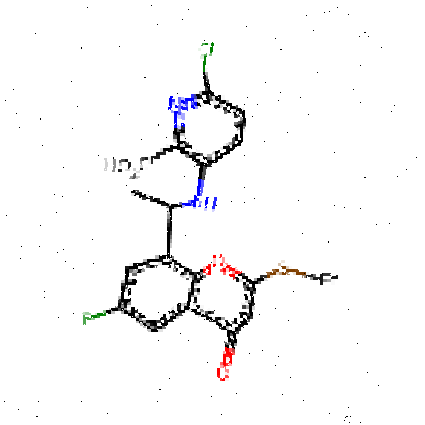 CCSc1cc(=O)c2cc(F)cc(C(C)Nc3ccc(Cl)nc3C(=O)O)c2o1